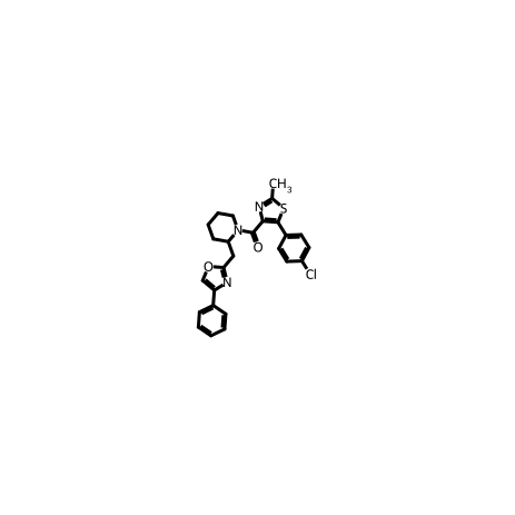 Cc1nc(C(=O)N2CCCCC2Cc2nc(-c3ccccc3)co2)c(-c2ccc(Cl)cc2)s1